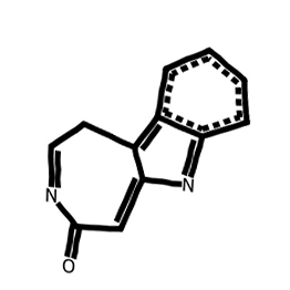 O=C1C=C2N=c3ccccc3=C2CC=N1